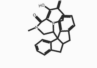 CN1CC(C23c4ccccc4CC2Cc2ccccc23)n2ccc(=O)c(O)c2C1=O